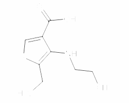 CCCNc1c(C(=O)O)csc1CC